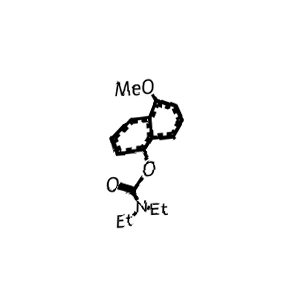 CCN(CC)C(=O)Oc1cccc2c(OC)cccc12